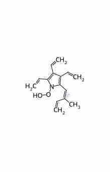 C=C/C(C)=C\c1c(C=C)c(C=C)c(C=C)n1OO